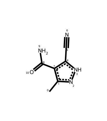 Cc1n[nH]c(C#N)c1C(N)=O